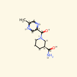 Cc1cnc(C(=O)N2CCC[C@H](C(N)=O)C2)cn1